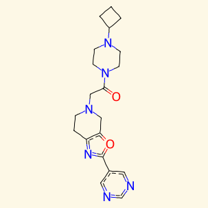 O=C(CN1CCc2nc(-c3cncnc3)oc2C1)N1CCN(C2CCC2)CC1